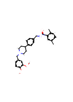 COc1ccc(CN2CCC(c3ccc(CNC(=O)c4cc(C)ccc4C)cc3)CC2)cc1OC